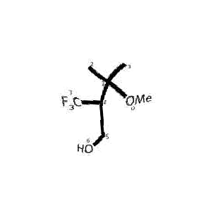 COC(C)(C)C(CO)C(F)(F)F